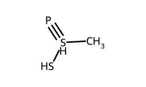 C[SH](#P)S